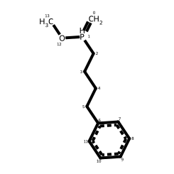 C=[PH](CCCCc1ccccc1)OC